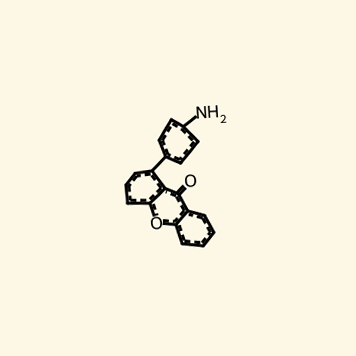 Nc1ccc(-c2cccc3oc4ccccc4c(=O)c23)cc1